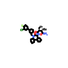 CCCC[C@H](C(N)=O)[C@@H](CC(C)C)C(=O)NC1C(=O)N(Cc2cccc(-c3ccc(F)c(Cl)c3)c2)c2ccccc2-c2ccccc21